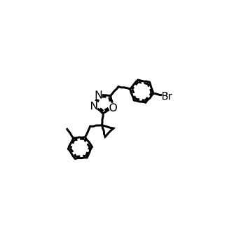 Cc1ccccc1CC1(c2nnc(Cc3ccc(Br)cc3)o2)CC1